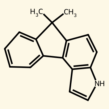 CC1(C)c2ccccc2-c2c1ccc1[nH]ccc21